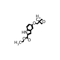 CCOC(=O)c1cc2cc(OCC3(C)COC3)ccc2[nH]1